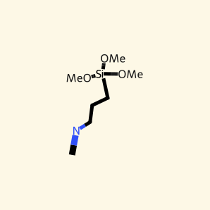 C=NCCC[Si](OC)(OC)OC